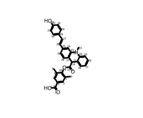 Cc1cc(C(=O)O)cc(C)c1OC(=O)C1c2ccccc2N(C)c2cc(C=Cc3ccc(O)cc3)ccc21